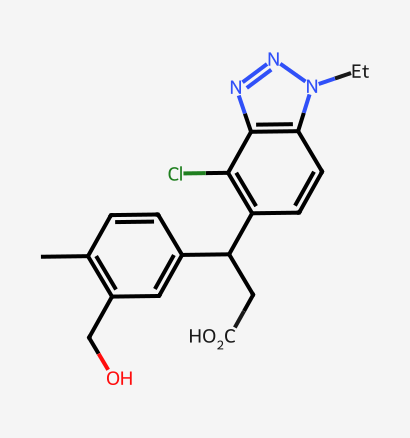 CCn1nnc2c(Cl)c(C(CC(=O)O)c3ccc(C)c(CO)c3)ccc21